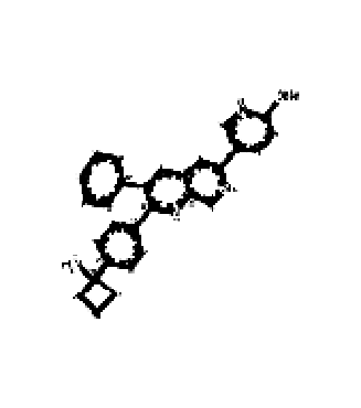 COc1ccc(-c2cc3cc(-c4ccccc4)c(-c4ccc(C5(N)CCC5)cc4)nc3cn2)cn1